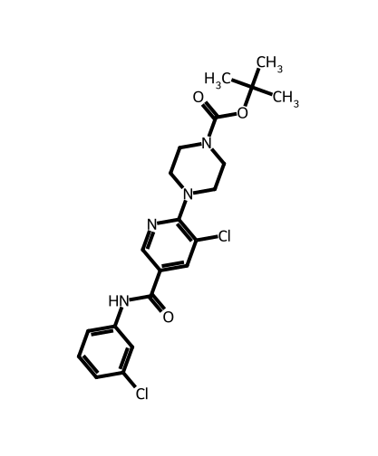 CC(C)(C)OC(=O)N1CCN(c2ncc(C(=O)Nc3cccc(Cl)c3)cc2Cl)CC1